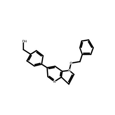 OCc1ccc(-c2cnc3ccn(OCc4ccccc4)c3c2)cc1